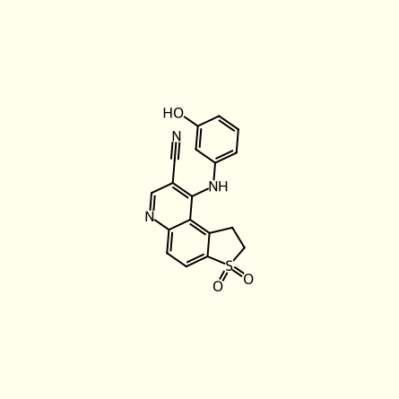 N#Cc1cnc2ccc3c(c2c1Nc1cccc(O)c1)CCS3(=O)=O